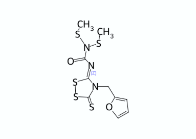 CSN(SC)C(=O)/N=c1\ssc(=S)n1Cc1ccco1